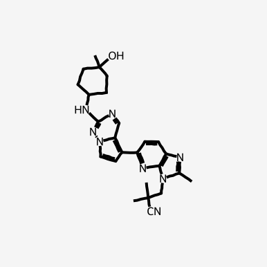 Cc1nc2ccc(-c3ccn4nc(NC5CCC(C)(O)CC5)ncc34)nc2n1CC(C)(C)C#N